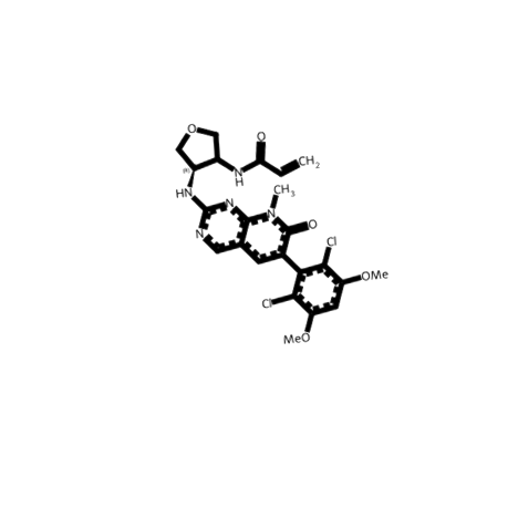 C=CC(=O)NC1COC[C@@H]1Nc1ncc2cc(-c3c(Cl)c(OC)cc(OC)c3Cl)c(=O)n(C)c2n1